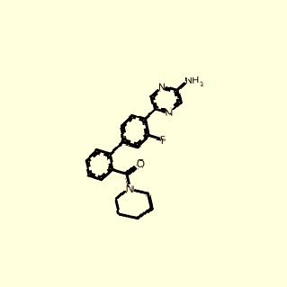 Nc1cnc(-c2ccc(-c3ccccc3C(=O)N3CCCCC3)cc2F)cn1